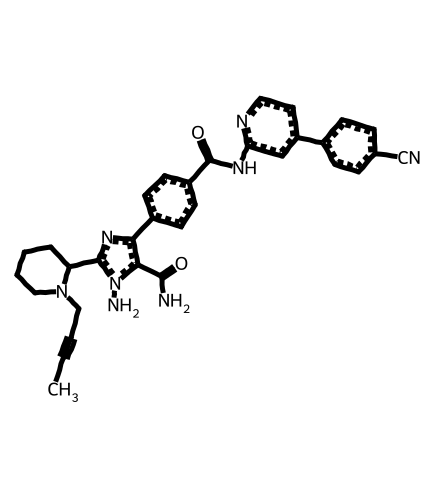 CC#CCN1CCCCC1c1nc(-c2ccc(C(=O)Nc3cc(-c4ccc(C#N)cc4)ccn3)cc2)c(C(N)=O)n1N